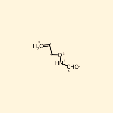 C=CCON[C]=O